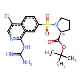 CC(C)(C)OC(=O)[C@@H]1CCCN1S(=O)(=O)c1ccc2c(Cl)cnc(NC(=N)N)c2c1